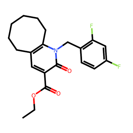 CCOC(=O)c1cc2c(n(Cc3ccc(F)cc3F)c1=O)CCCCCC2